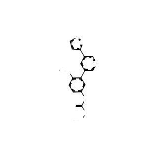 CCCCCCCCNC(=O)Oc1ccc(OC)c(-c2cncc(-c3ccno3)c2)c1